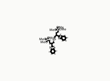 CO[Si](CCC(CSSCC(CC[Si](OC)(OC)OC)c1nc2ccccc2s1)c1nc2ccccc2s1)(OC)OC